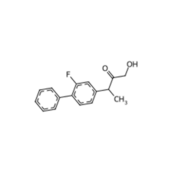 CC(C(=O)CO)c1ccc(-c2ccccc2)c(F)c1